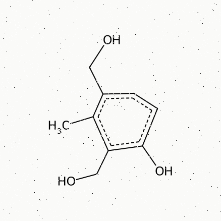 Cc1c(CO)ccc(O)c1CO